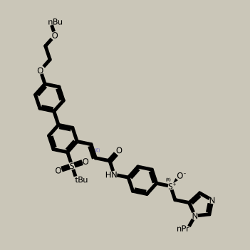 CCCCOCCOc1ccc(-c2ccc(S(=O)(=O)C(C)(C)C)c(/C=C/C(=O)Nc3ccc([S@@+]([O-])Cc4cncn4CCC)cc3)c2)cc1